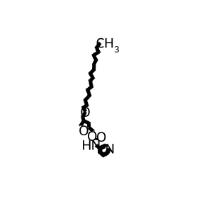 CCCCCCCCCCCCCCCCOCC1COC(COC(=O)Nc2cccnc2)C1